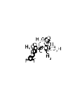 C[C@@H]1CN(CC(=O)N2CC(C)(C)c3cnc(Cc4ccc(F)cc4F)cc32)[C@@H](CN2[C@H](C)COC[C@H]2C)CN1C(=O)O